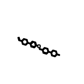 C=CC1CCC(c2ccc(OCC3C=CC(C4CCC(C)CC4)CC3)cc2)CC1